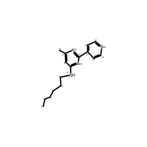 CCCCCCNc1cc(C)nc(-c2ccncc2)n1